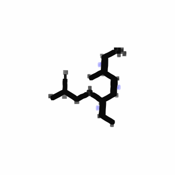 C\C=C(/C=C\C(C)=C/N)OCC(C)I